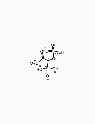 COC(=O)C(OS(C)(=O)=O)P(=O)(O)O